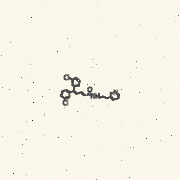 O=C(C=CC=C(c1cccc(Cl)c1)c1cccc(Cl)c1)NCCCCc1cccnc1